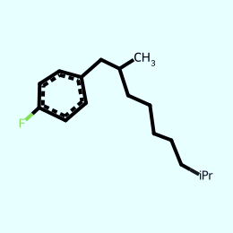 CC(C)CCCCCC(C)Cc1ccc(F)cc1